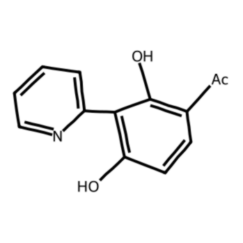 CC(=O)c1ccc(O)c(-c2ccccn2)c1O